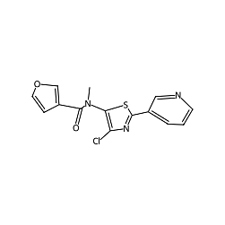 CN(C(=O)c1ccoc1)c1sc(-c2cccnc2)nc1Cl